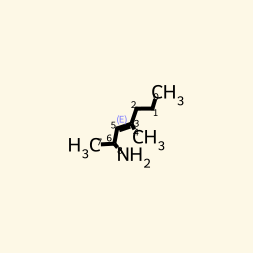 CCC/C(C)=C/C(C)N